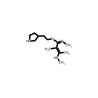 C/N=C(OCCC1CCNC1)\C(C)=C(/C)NC